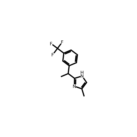 Cc1c[nH]c(C(C)c2cccc(C(F)(F)F)c2)n1